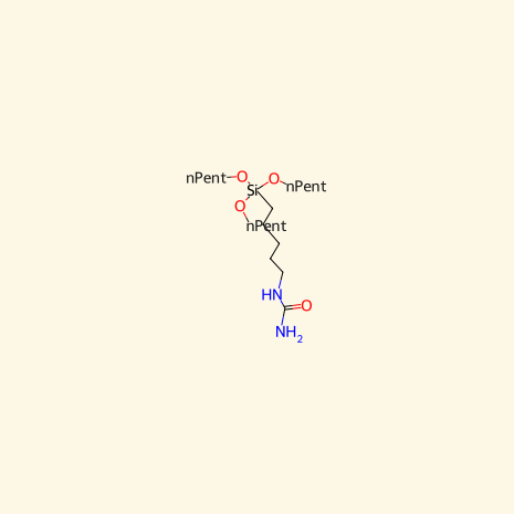 CCCCCO[Si](CCCCCNC(N)=O)(OCCCCC)OCCCCC